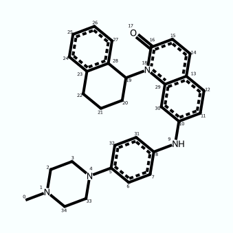 CN1CCN(c2ccc(Nc3ccc4ccc(=O)n(C5CCCc6ccccc65)c4c3)cc2)CC1